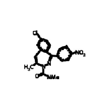 CNC(=O)N1N=C(c2ccc([N+](=O)[O-])cc2)c2ccc(Cl)cc2C=C1C